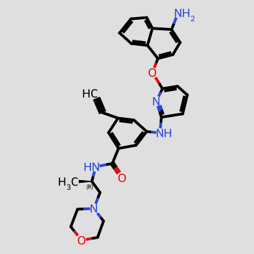 C#Cc1cc(Nc2cccc(Oc3ccc(N)c4ccccc34)n2)cc(C(=O)N[C@H](C)CN2CCOCC2)c1